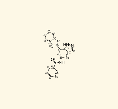 O=C(Nc1cc(-c2cc3ccccc3s2)c2[nH]ncc2c1)c1ccccn1